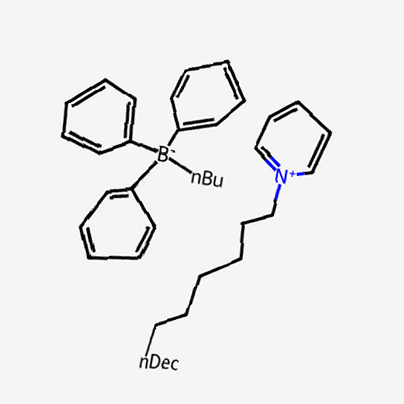 CCCCCCCCCCCCCCCC[n+]1ccccc1.CCCC[B-](c1ccccc1)(c1ccccc1)c1ccccc1